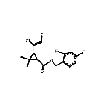 CC1(C)C(C(=O)OCc2ccc(F)cc2F)C1C(Cl)=CCl